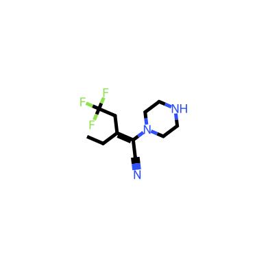 CCC(CC(F)(F)F)=C(C#N)N1CCNCC1